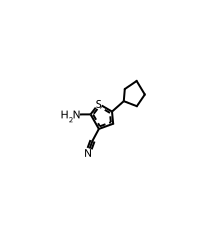 N#Cc1cc(C2CCCC2)sc1N